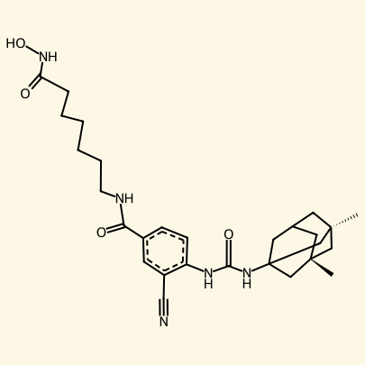 C[C@]12CC3CC(NC(=O)Nc4ccc(C(=O)NCCCCCCC(=O)NO)cc4C#N)(C1)C[C@@](C)(C3)C2